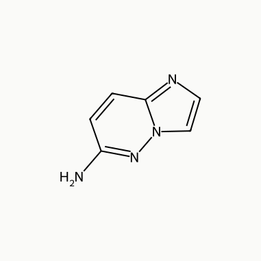 Nc1ccc2nccn2n1